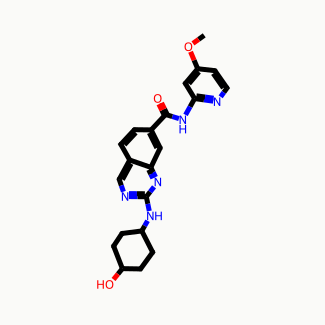 COc1ccnc(NC(=O)c2ccc3cnc(NC4CCC(O)CC4)nc3c2)c1